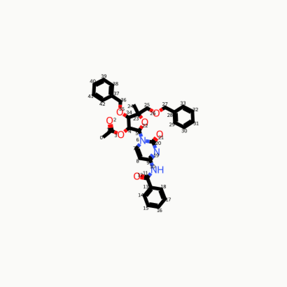 CC(=O)OC1C(n2ccc(NC(=O)c3ccccc3)nc2=O)OC(C)(COCc2ccccc2)C1OCc1ccccc1